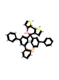 Pc1cc(-c2ccccc2)cc(C2(c3cc(-c4ccccc4)cc(-c4ccccc4)c3)Oc3ccsc3-c3sccc32)c1